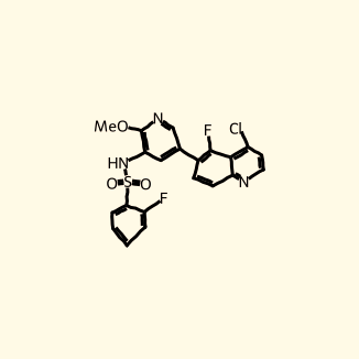 COc1ncc(-c2ccc3nccc(Cl)c3c2F)cc1NS(=O)(=O)c1ccccc1F